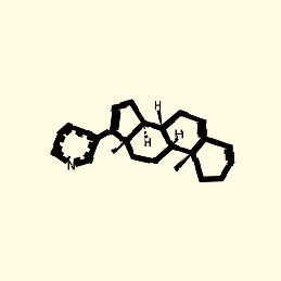 C[C@]12CCC=CC1=CC[C@@H]1[C@@H]2CC[C@]2(C)C(c3cccnc3)=CC[C@@H]12